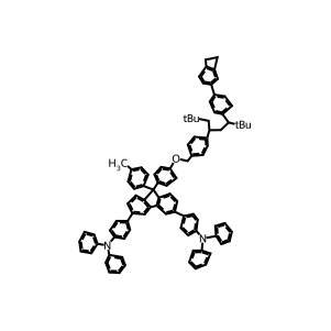 Cc1ccc(C2(c3ccc(OCc4ccc(C(CC(c5ccc(-c6ccc7c(c6)CC7)cc5)C(C)(C)C)CC(C)(C)C)cc4)cc3)c3ccc(-c4ccc(N(c5ccccc5)c5ccccc5)cc4)cc3-c3cc(-c4ccc(N(c5ccccc5)c5ccccc5)cc4)ccc32)cc1